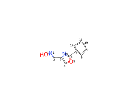 ON=Cc1coc(-c2ccccc2)n1